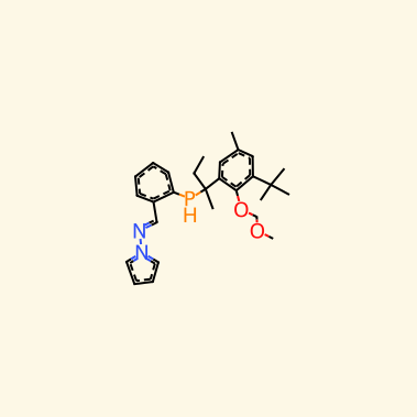 CCC(C)(Pc1ccccc1/C=N/n1cccc1)c1cc(C)cc(C(C)(C)C)c1OCOC